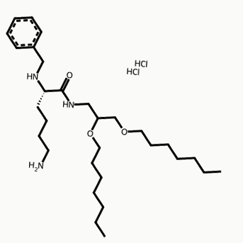 CCCCCCCOCC(CNC(=O)[C@H](CCCCN)NCc1ccccc1)OCCCCCCC.Cl.Cl